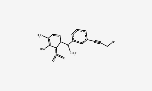 CC1=C(C(C)(C)C)C(=S(=O)=O)C(N(C(=O)O)c2cccc(C#CCBr)c2)C=C1